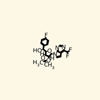 CC1(C)O[C@H]2[C@@H](O1)[C@H](n1ccc3c(C(F)F)ncnc31)O[C@@H]2[C@H](O)c1ccc(F)cc1